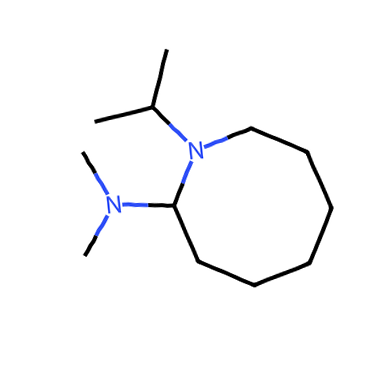 CC(C)N1CCCCCCC1N(C)C